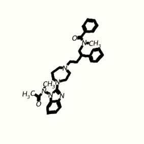 CC(=O)N(C)n1c(N2CCCN(CCC(CN(C)C(=O)c3ccccc3)c3ccccc3)CC2)nc2ccccc21